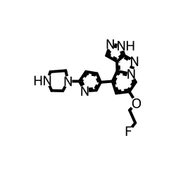 FCCOc1cc(-c2ccc(N3CCNCC3)nc2)c2c3cn[nH]c3nn2c1